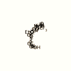 CCc1cc(Oc2nccn3c(-c4conc4C(F)(F)F)cnc23)ccc1C(=O)OCCCCC(=O)[C@@H]1C[C@@H](O)CO1